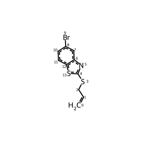 C=CCSc1nc2cc(Br)ccc2s1